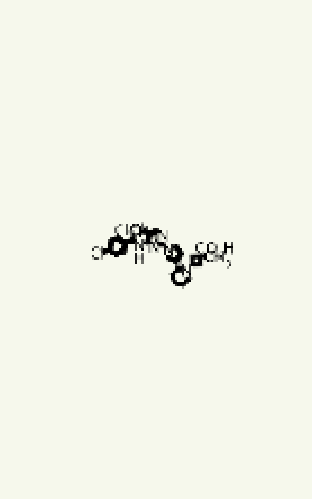 CC(Nc1nc(N2CC[C@@H](C3CCCCN3C3CC(C)(C(=O)O)C3)C2)ncc1Cl)c1ccc(Cl)cc1Cl